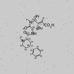 C/C(=C\[C@H](C(C)C)N(C)C(=O)[C@@H](NC(=O)[C@@H]1C[C@H](c2ccccc2)CCN1C)C(C)(C)C)C(=O)O